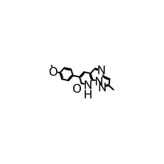 COc1ccc(-c2cc3cnc4cc(C)nn4c3[nH]c2=O)cc1